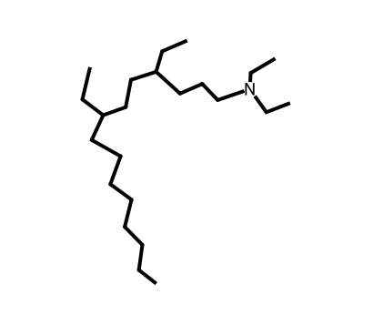 CCCCCCCCC(CC)CCC(CC)CCCN(CC)CC